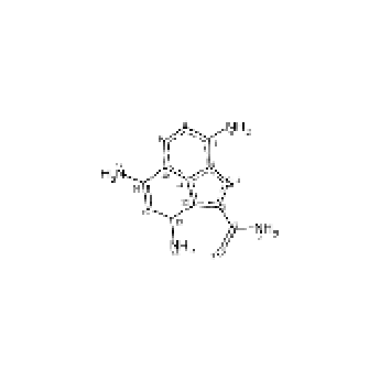 NC(=O)c1sc2c(N)ccc3c2c1C(N)C=C3N